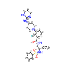 O=C(NC[C@H](NS(=O)(=O)c1ccccc1)C(=O)O)c1cccc(N2CCC(NC3=NCCCN3)CC2)c1F